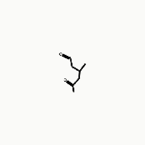 CC(=O)CC(C)CC=O